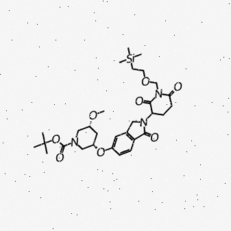 CO[C@@H]1C[C@@H](Oc2ccc3c(c2)CN(C2CCC(=O)N(COCC[Si](C)(C)C)C2=O)C3=O)CN(C(=O)OC(C)(C)C)C1